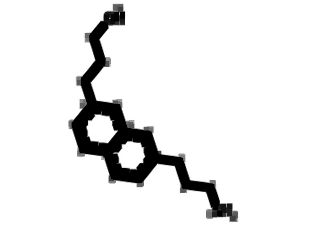 NCCCc1ccc2ccc(CCCO)cc2c1